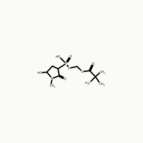 CN1C(=O)C(P(=O)(O)OCOC(=O)C(C)(C)C)CC1O